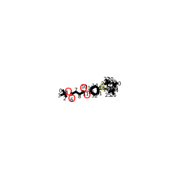 CC(C)(C)OC(=O)CCC(=O)Oc1ccc(SC[Si](C(C)(C)C)(C(C)(C)C)C(C)(C)C)cc1